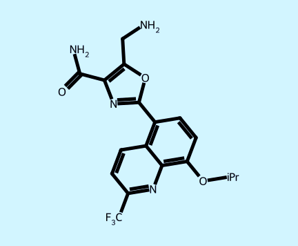 CC(C)Oc1ccc(-c2nc(C(N)=O)c(CN)o2)c2ccc(C(F)(F)F)nc12